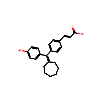 O=C(O)C=Cc1ccc(C(=C2CCCCCC2)c2ccc(O)cc2)cc1